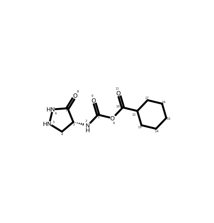 O=C(N[C@@H]1CNNC1=O)OC(=O)C1CCCCC1